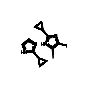 Ic1nc(C2CC2)[nH]c1I.c1c[nH]c(C2CC2)n1